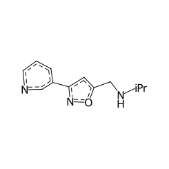 CC(C)NCc1cc(-c2cccnc2)no1